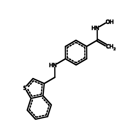 C=C(NO)c1ccc(NCc2csc3ccccc23)cc1